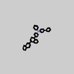 c1ccc(-c2ccc(N(c3ccccc3)c3ccc(-c4ccc(-c5ccc6ccccc6c5)c5ccccc45)cc3)cc2)cc1